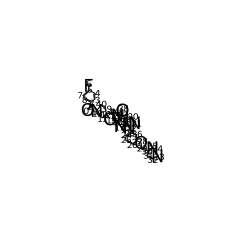 O=C(c1ccc(F)cc1)N1CCC(O)(Cn2cnc3c(cnn3-c3cccc(OCc4ccncn4)c3)c2=O)CC1